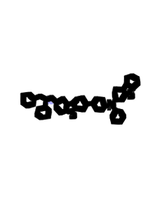 C(=C(\Cc1ccccc1)c1ccccc1)/c1ccc2sc3cc(-c4ccc(N(c5ccccc5)c5ccc6c(c5)sc5ccccc56)cc4)ccc3c2c1